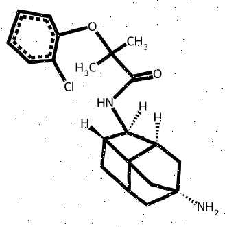 CC(C)(Oc1ccccc1Cl)C(=O)N[C@H]1[C@@H]2CC3C[C@H]1C[C@](N)(C3)C2